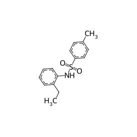 CCc1ccccc1NS(=O)(=O)c1ccc(C)cc1